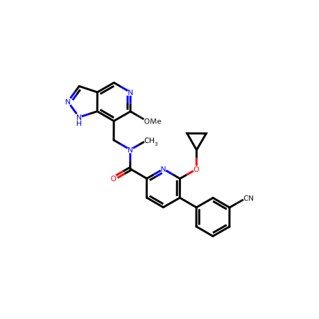 COc1ncc2cn[nH]c2c1CN(C)C(=O)c1ccc(-c2cccc(C#N)c2)c(OC2CC2)n1